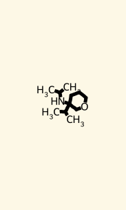 CC(C)NC1(C(C)C)CCCOC1